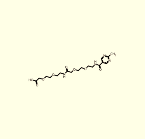 Cc1ncc(C(=O)NCCOCCOCC(=O)NCCOCCOCC(=O)O)cn1